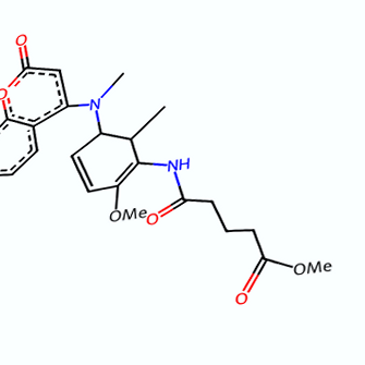 COC(=O)CCCC(=O)NC1=C(OC)C=CC(N(C)c2cc(=O)oc3ccccc23)C1C